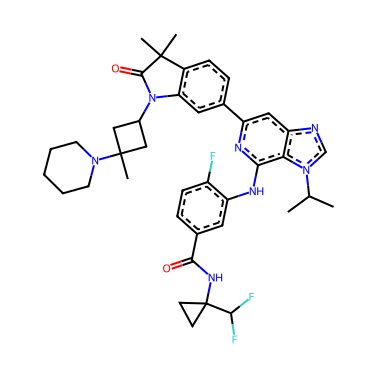 CC(C)n1cnc2cc(-c3ccc4c(c3)N(C3CC(C)(N5CCCCC5)C3)C(=O)C4(C)C)nc(Nc3cc(C(=O)NC4(C(F)F)CC4)ccc3F)c21